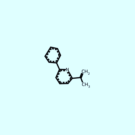 C=C(C)c1cccc(-c2ccccc2)n1